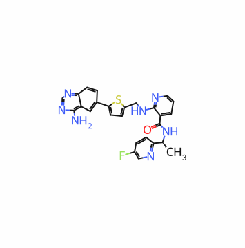 C[C@H](NC(=O)c1cccnc1NCc1ccc(-c2ccc3ncnc(N)c3c2)s1)c1ccc(F)cn1